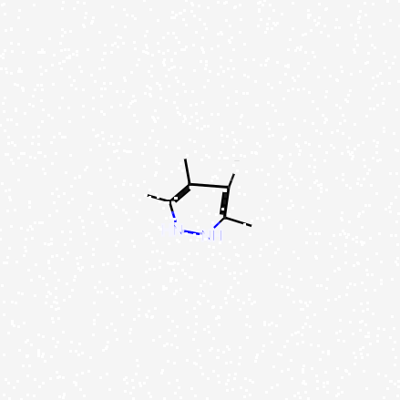 CCC1=C(C)NNC(C)=C1C